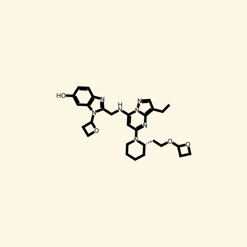 CCc1cnn2c(NCc3nc4ccc(O)cc4n3C3CCO3)cc(N3CCCC[C@H]3CCOC3CCO3)nc12